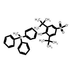 CC(C)(C)c1cc(S(=O)(=O)[O-])cc(C(C)(C)C)c1O.C[P+](c1ccccc1)(c1ccccc1)c1ccccc1